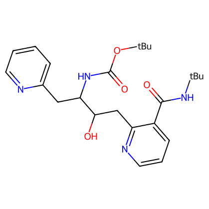 CC(C)(C)NC(=O)c1cccnc1CC(O)C(Cc1ccccn1)NC(=O)OC(C)(C)C